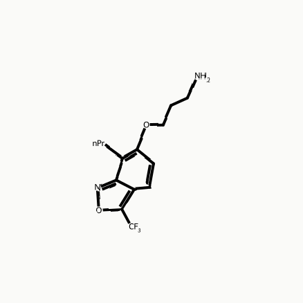 CCCc1c(OCCCN)ccc2c(C(F)(F)F)onc12